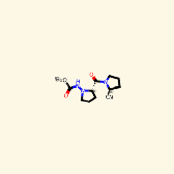 CC(C)COC(=O)NN1CCC[C@H]1C(=O)N1CCC[C@H]1C#N